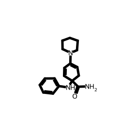 NC(=O)C1(Nc2ccccc2)C=CC(N2CCCCC2)=CC1